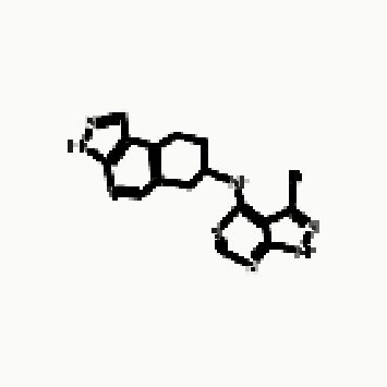 Brc1n[nH]c2ncnc(NC3CCc4c(cnc5[nH]ncc45)C3)c12